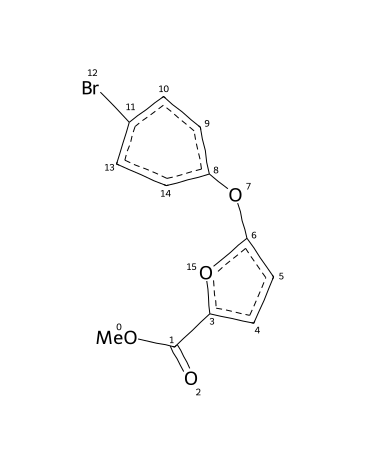 COC(=O)c1ccc(Oc2ccc(Br)cc2)o1